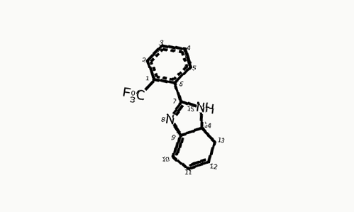 FC(F)(F)c1ccccc1C1=NC2=CC=CCC2N1